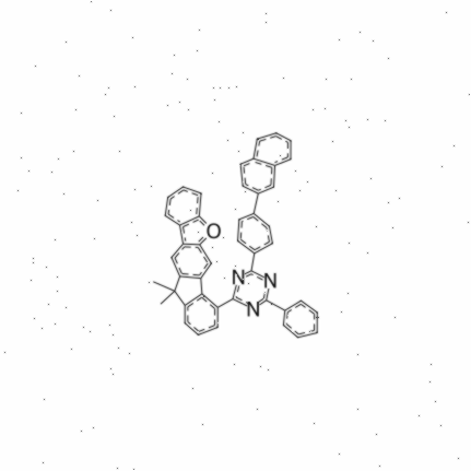 CC1(C)c2cc3c(cc2-c2c(-c4nc(-c5ccccc5)nc(-c5ccc(-c6ccc7ccccc7c6)cc5)n4)cccc21)oc1ccccc13